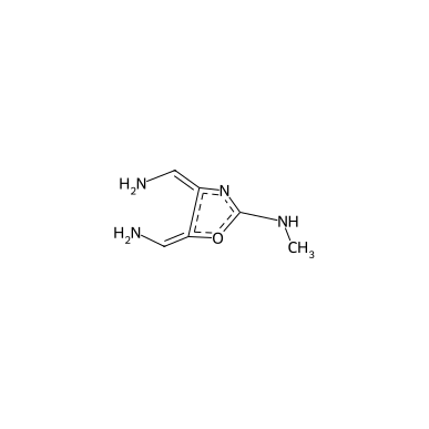 CNc1nc(=C/N)/c(=C\N)o1